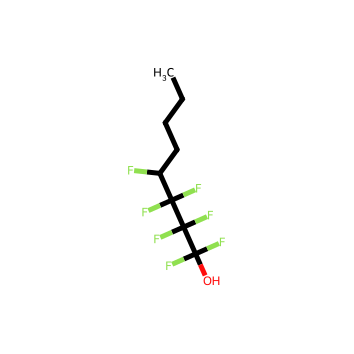 CCCCC(F)C(F)(F)C(F)(F)C(O)(F)F